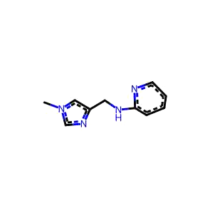 Cn1cnc(CNc2ccccn2)c1